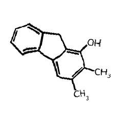 Cc1cc2c(c(O)c1C)Cc1ccccc1-2